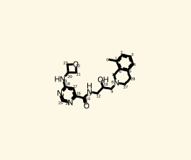 Cc1cccc2c1CN(CC(O)CNC(=O)c1cc(NC3COC3)ncn1)CC2